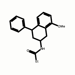 CCC(=O)NC1Cc2c(OC)cccc2C(c2ccccc2)C1